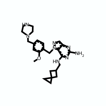 COc1cc(CN2CCNCC2)ccc1Cn1ncc2nc(N)nc(NCC3CC4(CC4)C3)c21